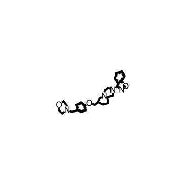 c1ccc2c(N3CCN4CC(COc5ccc(CN6CCOCC6)cc5)CCC4C3)noc2c1